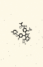 C=C(C)C(=O)Nc1ccc(-c2c(-c3ccc(Oc4nccc(C)n4)c(F)c3)c3c(N)ncnc3n2C)c(CN(C)C)c1